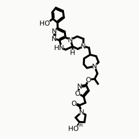 CC(CN1CCCC(CN2CCN3c4cc(-c5ccccc5O)nnc4NC[C@H]3C2)CC1)Oc1cc(CC(=O)N2CC[C@@H](O)C2)on1